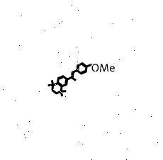 COCc1ccc(/C=C(\C)c2ccc3c(c2)C(C)(C)CCC3(C)C)cc1